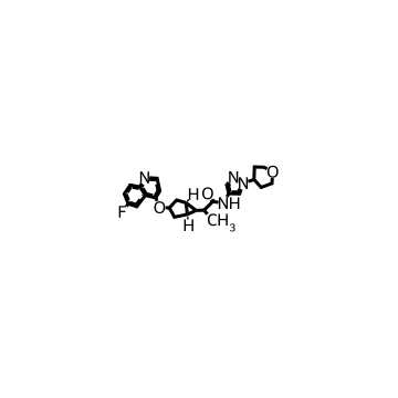 CC(C(=O)Nc1cnn(C2CCOCC2)c1)C1[C@H]2CC(Oc3ccnc4ccc(F)cc34)C[C@@H]12